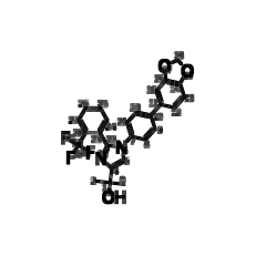 CC(C)(O)c1cn(-c2ccc(-c3ccc4c(c3)OCO4)cc2)c(-c2ccccc2C(F)(F)F)n1